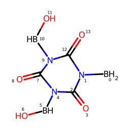 Bn1c(=O)n(BO)c(=O)n(BO)c1=O